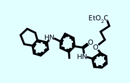 CCOC(=O)CCCOc1ccccc1NC(=O)c1ccc(Nc2cccc3c2CCCC3)cc1C